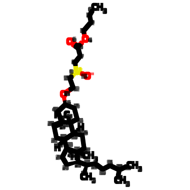 CCCCOC(=O)CC[S+]([O-])CCO[C@H]1CC[C@@]2(C)C(=CC[C@H]3[C@@H]4CC[C@H]([C@H](C)CCCC(C)C)[C@@]4(C)CC[C@@H]32)C1